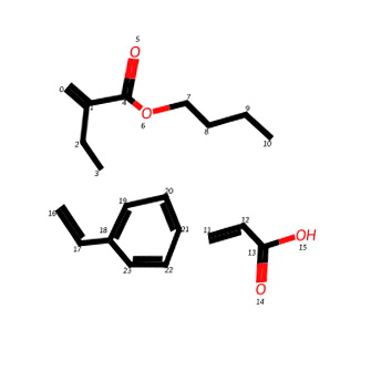 C=C(CC)C(=O)OCCCC.C=CC(=O)O.C=Cc1ccccc1